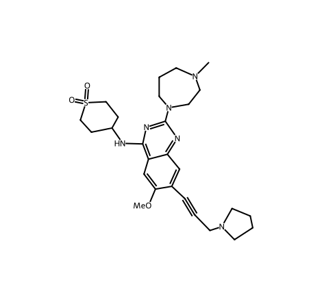 COc1cc2c(NC3CCS(=O)(=O)CC3)nc(N3CCCN(C)CC3)nc2cc1C#CCN1CCCC1